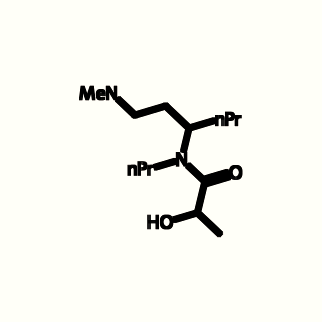 CCCC(CCNC)N(CCC)C(=O)C(C)O